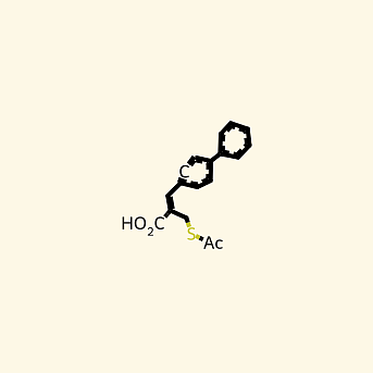 CC(=O)SC/C(=C\c1ccc(-c2ccccc2)cc1)C(=O)O